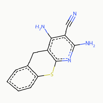 N#Cc1c(N)nc2c(c1N)Cc1ccccc1S2